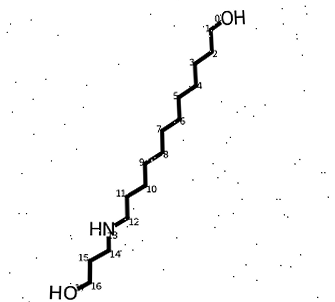 OCCCCCCCCCCCCNCCCO